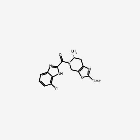 COc1nc2c(s1)CN(C(=O)c1nc3cccc(Cl)c3[nH]1)[C@H](C)C2